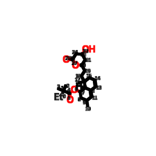 CCC(C)(C)C(=O)OC1CC(C)C=C2C=CCC(C)(CCC3CC(O)CC(=O)O3)[C@H]21